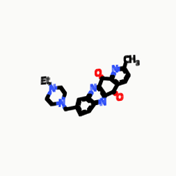 CCN1CCN(Cc2ccc3nc4c(nc3c2)C(=O)c2nc(C)ccc2C4=O)CC1